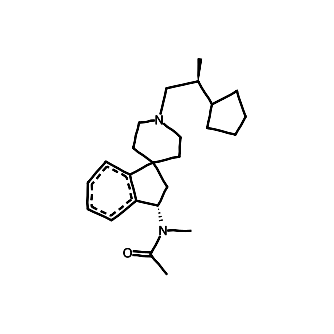 CC(=O)N(C)[C@H]1CC2(CCN(C[C@@H](C)C3CCCC3)CC2)c2ccccc21